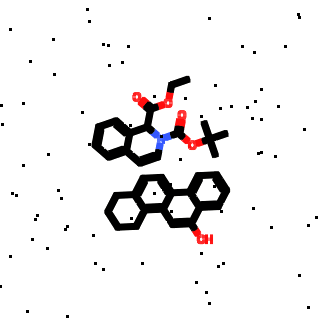 CCOC(=O)C1c2ccccc2C=CN1C(=O)OC(C)(C)C.Oc1cc2c3c(ccc2c2ccccc12)CCCC3